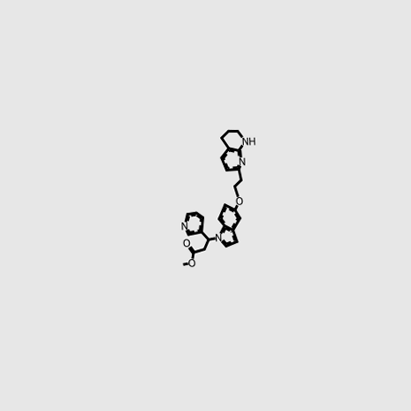 COC(=O)CC(c1cccnc1)n1ccc2cc(OCCc3ccc4c(n3)NCCC4)ccc21